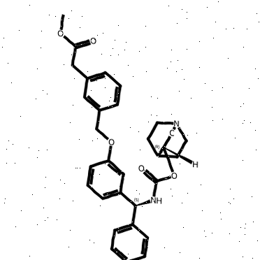 COC(=O)Cc1cccc(COc2cccc([C@@H](NC(=O)O[C@H]3CN4CCC3CC4)c3ccccc3)c2)c1